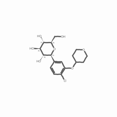 OC[C@H]1O[C@@H](c2ccc(Cl)c(OC3CCOCC3)c2)[C@H](O)[C@@H](O)[C@@H]1O